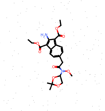 CCOC(=O)c1c2ccc(CC(=O)N(OC)C3COC(C)(C)O3)ccc-2c(C(=O)OCC)c1N